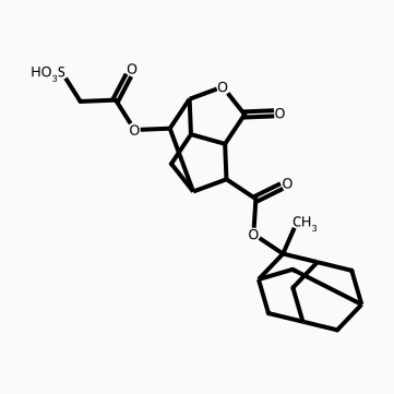 CC1(OC(=O)C2C3CC4C(OC(=O)C42)C3OC(=O)CS(=O)(=O)O)C2CC3CC(C2)CC1C3